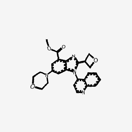 COC(=O)c1cc(N2CCOCC2)cc2c1nc(C1COC1)n2-c1ccnc2ccccc12